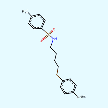 CC(=O)Nc1ccc(SCCCCNS(=O)(=O)c2ccc(C)cc2)cc1